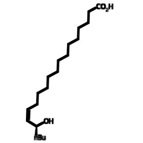 CCCC[C@H](O)/C=C\CCCCCCCCCCCCC(=O)O